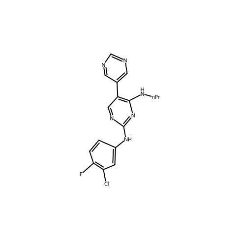 CCCNc1nc(Nc2ccc(F)c(Cl)c2)ncc1-c1cncnc1